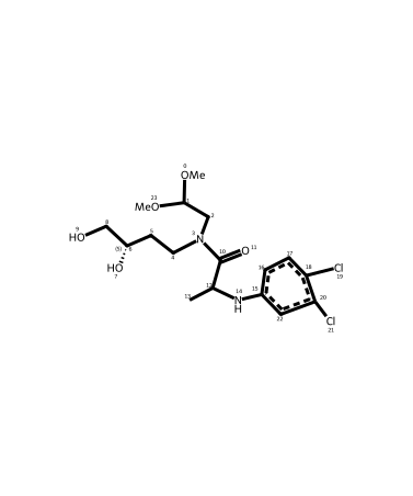 COC(CN(CC[C@H](O)CO)C(=O)C(C)Nc1ccc(Cl)c(Cl)c1)OC